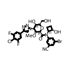 CO[C@@H]1[C@@H](n2cc(-c3cc(F)c(Cl)c(F)c3)nn2)[C@@H](O)[C@@H](CO)O[C@H]1C(=O)N(c1cc(Br)cc(C#N)c1)[C@H]1CC[C@@H]1O